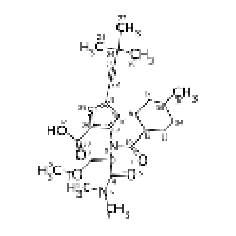 COC[C@H](C(=O)N(C)C)N(C(=O)C1CCC(C)CC1)c1cc(C#CC(C)(C)C)sc1C(=O)O